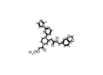 COCC(=O)N1CCN(c2ccnc(-n3ccnc3)n2)C(CC(=O)NCc2ccc3c(c2)OCO3)C1